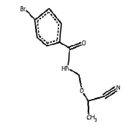 CC(C#N)OCNC(=O)c1ccc(Br)cc1